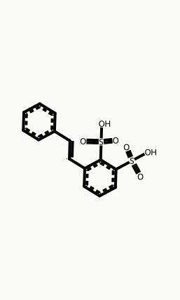 O=S(=O)(O)c1cccc([C]=[C]c2ccccc2)c1S(=O)(=O)O